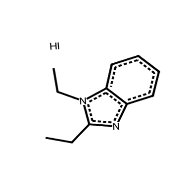 CCc1nc2ccccc2n1CC.I